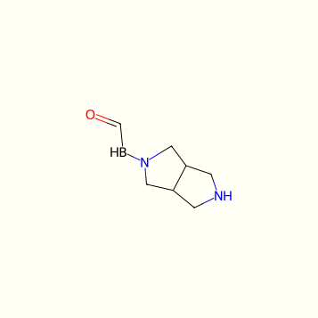 O=CBN1CC2CNCC2C1